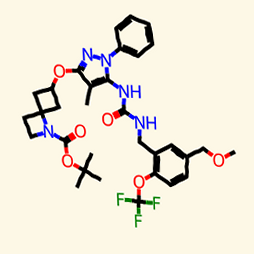 COCc1ccc(OC(F)(F)F)c(CNC(=O)Nc2c(C)c(OC3CC4(CCN4C(=O)OC(C)(C)C)C3)nn2-c2ccccc2)c1